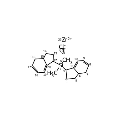 C[Si](C)(C1CCC2CC=CC=C21)C1CCC2CC=CC=C21.[Cl-].[Cl-].[Zr+2]